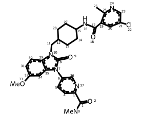 CNC(=O)c1ccc(-n2c(=O)n(CC3CCC(NC(=O)c4cc(Cl)cnc4C)CC3)c3ccc(OC)cc32)cn1